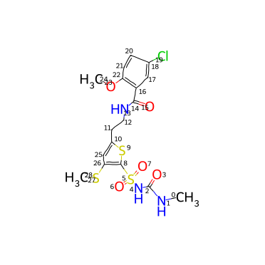 CNC(=O)NS(=O)(=O)c1sc(CCNC(=O)c2cc(Cl)ccc2OC)cc1SC